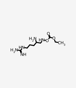 CCOC(=O)ONCC(N)CCCNC(=N)N